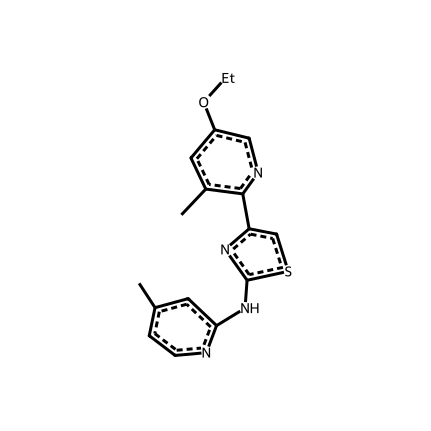 CCOc1cnc(-c2csc(Nc3cc(C)ccn3)n2)c(C)c1